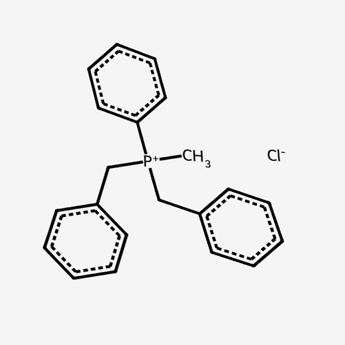 C[P+](Cc1ccccc1)(Cc1ccccc1)c1ccccc1.[Cl-]